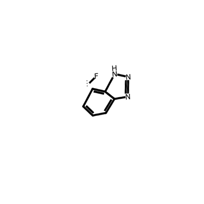 [C]F.c1ccc2[nH]nnc2c1